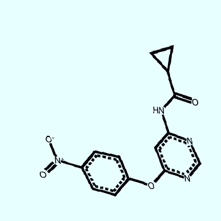 O=C(Nc1cc(Oc2ccc([N+](=O)[O-])cc2)ncn1)C1CC1